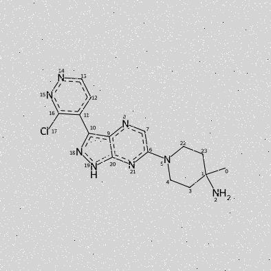 CC1(N)CCN(c2cnc3c(-c4ccnnc4Cl)n[nH]c3n2)CC1